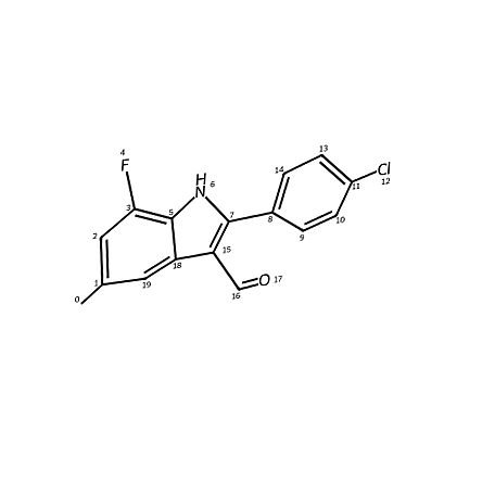 Cc1cc(F)c2[nH]c(-c3ccc(Cl)cc3)c(C=O)c2c1